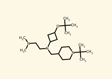 CN(C)CCN(CC1CCN(C(C)(C)C)CC1)C1CC(OC(C)(C)C)C1